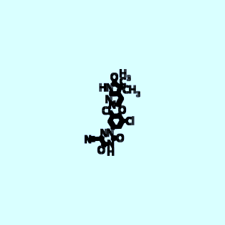 CC1(C)C(=O)Nc2nnc(Oc3c(Cl)cc(-n4nc(C#N)c(=O)[nH]c4=O)cc3Cl)cc21